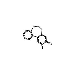 Cn1nc2c(cc1=O)CCSc1ccccc1-2